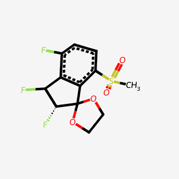 CS(=O)(=O)c1ccc(F)c2c1C1(OCCO1)[C@H](F)C2F